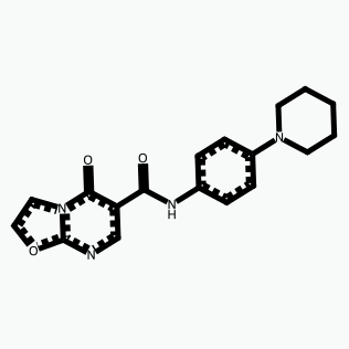 O=C(Nc1ccc(N2CCCCC2)cc1)c1cnc2occn2c1=O